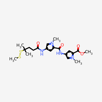 COC(=O)c1cc(NC(=O)c2cc(NC(=O)CCC(C)(C)SSC)cn2C)cn1C